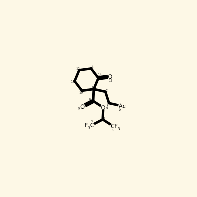 CC(=O)CCC1(C(=O)OC(C(F)(F)F)C(F)(F)F)CCCCC1=O